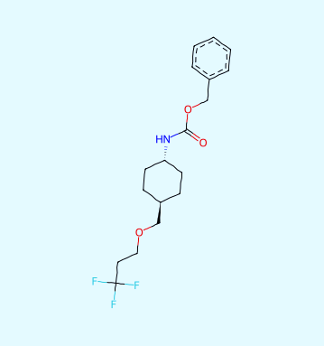 O=C(N[C@H]1CC[C@H](COCCC(F)(F)F)CC1)OCc1ccccc1